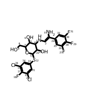 N/C(=C\NC1C(O)C(CO)OC(Sc2cc(Cl)c(F)c(Cl)c2)C1O)c1cc(F)c(F)c(F)c1